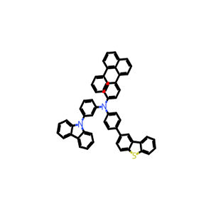 c1ccc(-c2cccc3cccc(-c4ccc(N(c5ccc(-c6ccc7sc8ccccc8c7c6)cc5)c5cccc(-n6c7ccccc7c7ccccc76)c5)cc4)c23)cc1